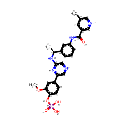 COc1cc(-c2cncc(N[C@@H](C)c3cccc(NC(=O)c4cncc(C)c4)c3)n2)ccc1OP(=O)(O)O